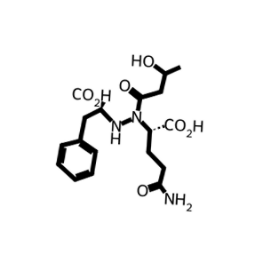 CC(O)CC(=O)N(N[C@@H](Cc1ccccc1)C(=O)O)[C@@H](CCC(N)=O)C(=O)O